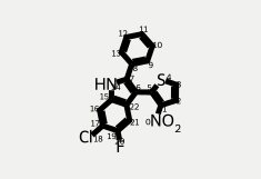 O=[N+]([O-])c1ccsc1-c1c(-c2ccccc2)[nH]c2cc(Cl)c(F)cc12